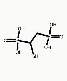 O=P(O)(O)CC(S)P(=O)(O)O